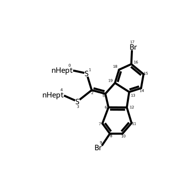 CCCCCCCSC(SCCCCCCC)=C1c2cc(Br)ccc2-c2ccc(Br)cc21